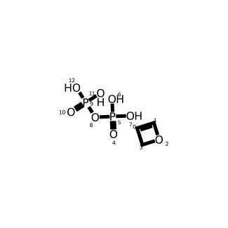 C1=COC1.O=P(O)(O)OP(=O)(O)O